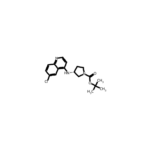 CC(C)(C)OC(=O)N1CC[C@@H](Nc2ccnc3ccc(Cl)cc23)C1